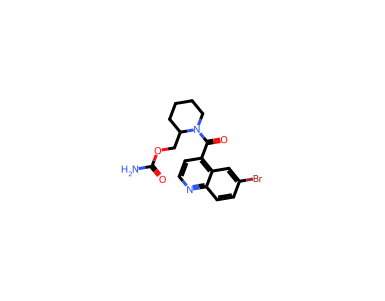 NC(=O)OCC1CCCCN1C(=O)c1ccnc2ccc(Br)cc12